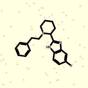 Fc1ccc2[nH]c(C3CCCCN3CCc3ccccc3)nc2c1